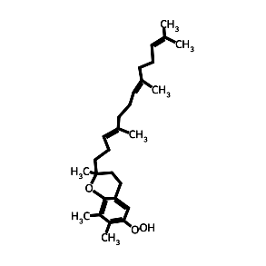 CC(C)=CCC/C(C)=C/CC/C(C)=C/CCC1(C)CCc2cc(OO)c(C)c(C)c2O1